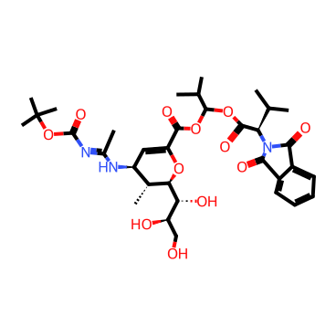 C/C(=N\C(=O)OC(C)(C)C)N[C@H]1C=C(C(=O)OC(OC(=O)[C@@H](C(C)C)N2C(=O)c3ccccc3C2=O)C(C)C)O[C@@H]([C@H](O)[C@H](O)CO)[C@@H]1C